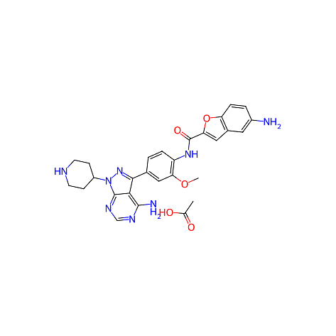 CC(=O)O.COc1cc(-c2nn(C3CCNCC3)c3ncnc(N)c23)ccc1NC(=O)c1cc2cc(N)ccc2o1